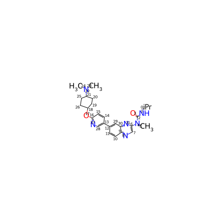 CC(C)NC(=O)N(C)c1cnc2ccc(-c3ccc(OC4CCC(N(C)C)CC4)nc3)cc2n1